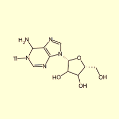 NC1c2ncn([C@@H]3O[C@H](CO)C(O)C3O)c2N=C[N]1[Tl]